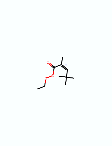 C[CH]OOC(=O)/C(C)=C\C(C)(C)C